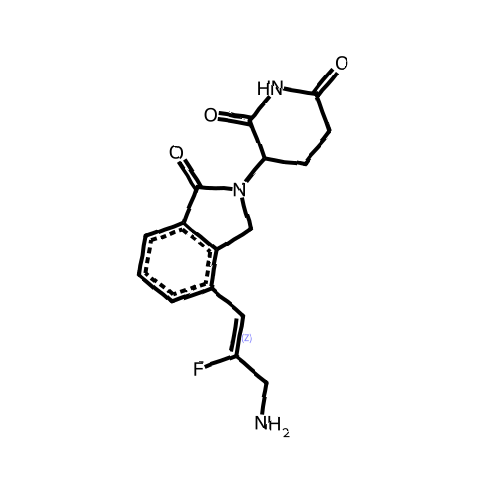 NC/C(F)=C/c1cccc2c1CN(C1CCC(=O)NC1=O)C2=O